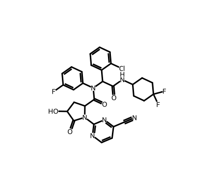 N#Cc1ccnc(N2C(=O)C(O)CC2C(=O)N(c2cccc(F)c2)C(C(=O)NC2CCC(F)(F)CC2)c2ccccc2Cl)n1